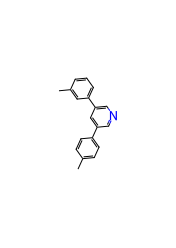 Cc1ccc(-c2cncc(-c3cccc(C)c3)c2)cc1